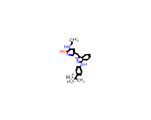 CCNc1cc(Cc2nnc(Nc3ccc(C(C)(C)C)cc3)c3ccccc23)cnc1O